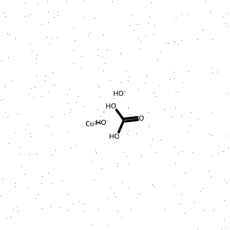 O=C(O)O.[Cu+2].[OH-].[OH-]